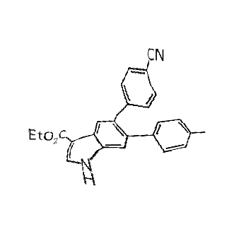 CCOC(=O)c1c[nH]c2cc(-c3ccc(C)cc3)c(-c3ccc(C#N)cc3)cc12